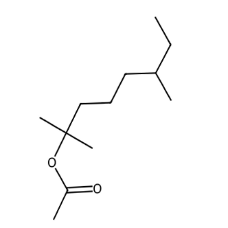 CCC(C)CCCC(C)(C)OC(C)=O